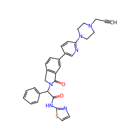 C#CCN1CCN(c2ccc(-c3ccc4c(c3)C(=O)N(C(C(=O)Nc3nccs3)c3ccccc3)C4)cn2)CC1